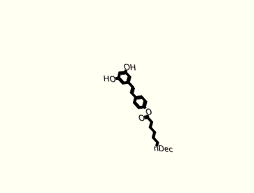 CCCCCCCCCCCCCCCC(=O)Oc1ccc(C=Cc2cc(O)cc(O)c2)cc1